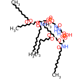 CCCCCCCCCCCCCC(=O)N[C@@H](CCOP(=O)(O)OCCNC(=O)NCCOP(=O)(O)OCC[C@@H](COCC[C@@H](CCCCCCC)OC(=O)CCCCCCCCCCC)NC(=O)CCCCCCCCCCCCC)COCC[C@@H](CCCCCCC)OC(=O)CCCCCCCCCCC